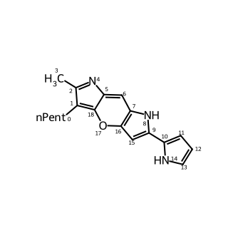 CCCCCc1c(C)nc2cc3[nH]c(-c4ccc[nH]4)cc3oc1-2